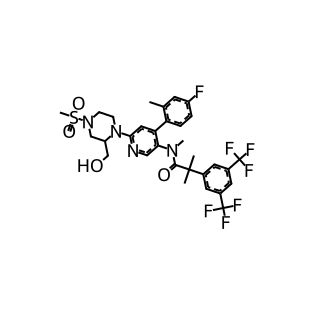 Cc1cc(F)ccc1-c1cc(N2CCN(S(C)(=O)=O)CC2CO)ncc1N(C)C(=O)C(C)(C)c1cc(C(F)(F)F)cc(C(F)(F)F)c1